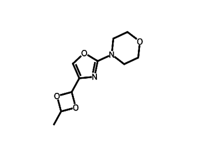 CC1OC(c2coc(N3CCOCC3)n2)O1